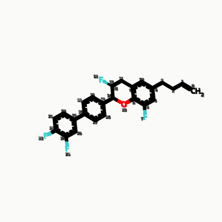 C=CCCc1cc(F)c2c(c1)C[C@H](F)C(c1ccc(-c3ccc(F)c(F)c3)cc1)O2